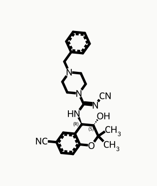 CC1(C)Oc2ccc(C#N)cc2[C@@H](NC(=NC#N)N2CCN(Cc3ccccc3)CC2)[C@@H]1O